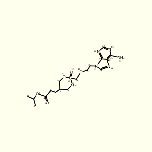 CC(C)OC(=O)CCC1COP(=O)(COCCn2cnc3c(N)ncnc32)OC1